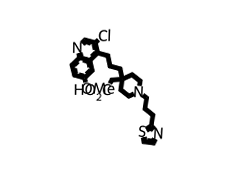 COc1ccc2ncc(Cl)c(CCCC3(CC(=O)O)CCN(CCCc4nccs4)CC3)c2c1